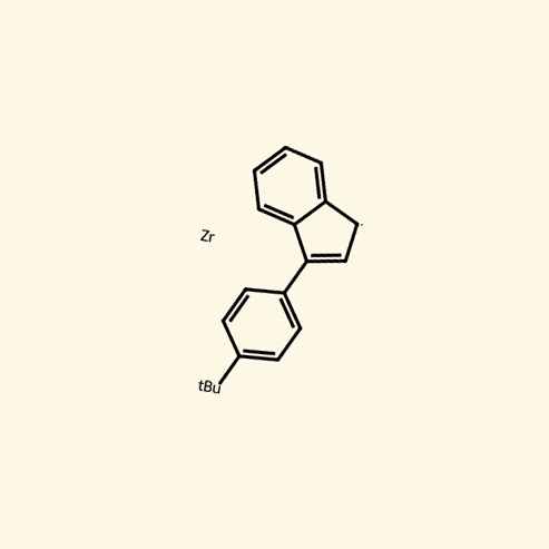 CC(C)(C)c1ccc(C2=C[CH]c3ccccc32)cc1.[Zr]